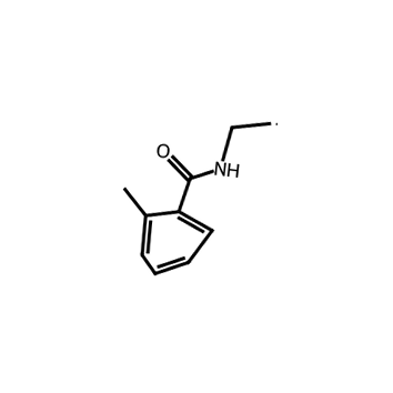 [CH2]CNC(=O)c1ccccc1C